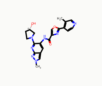 Cc1cnccc1-c1nc(C(=O)Nc2cc3cn(C)nc3nc2N2CC[C@H](O)C2)co1